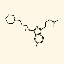 CC(CCn1nc(NCCCN2CCCCC2)c2cc(Cl)ccc21)N(C)C